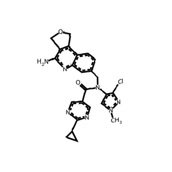 Cn1cc(N(Cc2ccc3c4c(c(N)nc3c2)COC4)C(=O)c2cnc(C3CC3)nc2)c(Cl)n1